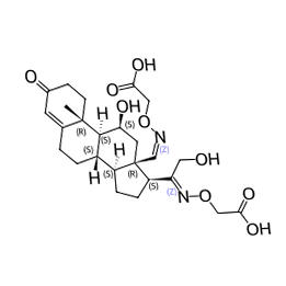 C[C@]12CCC(=O)C=C1CC[C@@H]1[C@@H]2[C@@H](O)C[C@]2(/C=N\OCC(=O)O)[C@@H](/C(CO)=N/OCC(=O)O)CC[C@@H]12